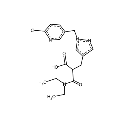 CCN(CC)C(=O)C(Cc1cnn(Cc2ccc(Cl)nc2)c1)C(=O)O